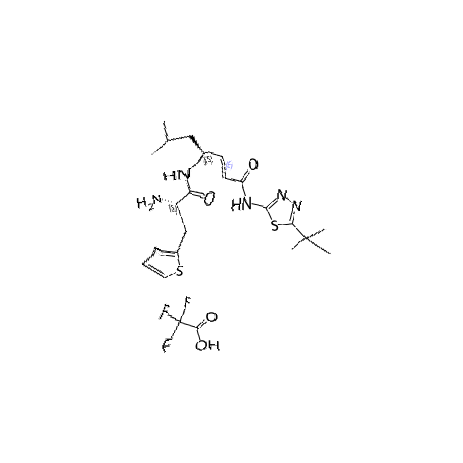 CC(C)C[C@@H](/C=C/C(=O)Nc1nnc(C(C)(C)C)s1)NC(=O)[C@@H](N)Cc1cccs1.O=C(O)C(F)(F)F